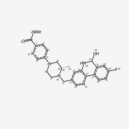 CNC(=O)c1ccc(N2CCN(Cc3cnc4c(c3)NC(O)c3cc(F)ccc3-4)[C@@H](C)C2)cn1